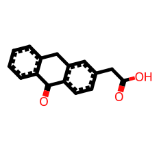 O=C(O)Cc1ccc2c(c1)Cc1ccccc1C2=O